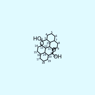 O=C(O)C1CCCC2CCCC(C3CCCC4CCCC(C(=O)O)C43)C21